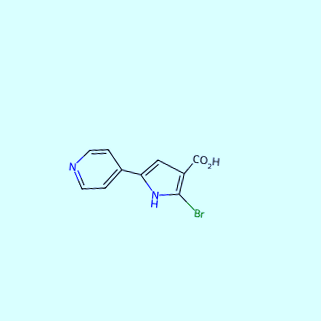 O=C(O)c1cc(-c2ccncc2)[nH]c1Br